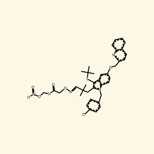 CC(C)(/C=N/OCC(=O)OCO[N+](=O)[O-])Cc1c(SC(C)(C)C)c2cc(OCc3ccc4ccccc4n3)ccc2n1Cc1ccc(Cl)cc1